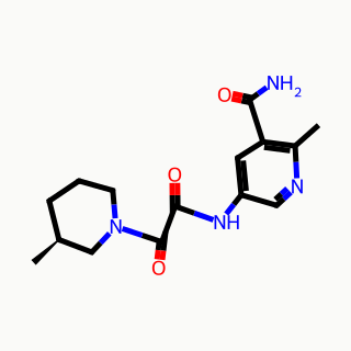 Cc1ncc(NC(=O)C(=O)N2CCC[C@H](C)C2)cc1C(N)=O